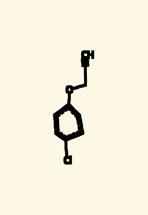 C#CCOc1ccc(Cl)cc1